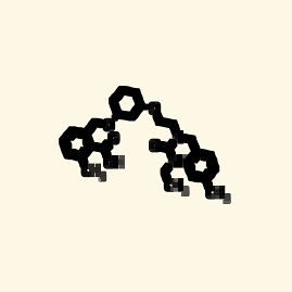 CCNC(=O)N(CCO[C@H]1CCC[C@@H](OCc2cccc(C)c2C(=O)O)C1)Cc1ccc(C)cc1